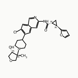 C[C@@]1(N2CCC(c3cc4cc(NC(=O)[C@@H]5C[C@H]5c5ccco5)ncc4cc3Cl)CC2)COC[C@@H]1O